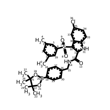 Cc1cc(C)cc(S(=O)(=O)c2c(C(=O)NCc3ccc(B4OC(C)(C)C(C)(C)O4)cc3)[nH]c3ccc(Cl)cc23)c1